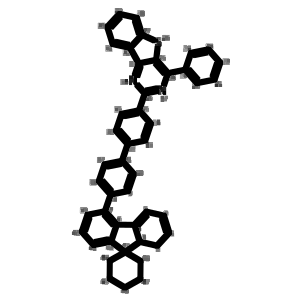 C1=CCC2C(=C1)c1c(-c3ccc(-c4ccc(-c5nc(-c6ccccc6)c6sc7ccccc7c6n5)cc4)cc3)cccc1C21CCCCC1